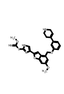 COC(=N)Sc1nc(-c2cc3c(COc4cccc(C5=CCNCC5)c4)cc(OC)cc3o2)c[nH]1